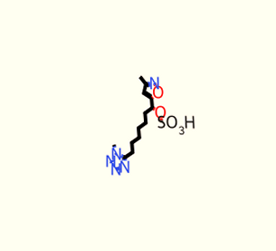 Cc1cc(C(CCCCCCc2nnnn2C)OS(=O)(=O)O)on1